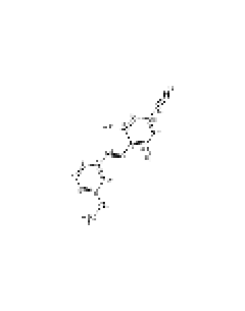 COc1cccc(/N=C/c2c(F)cc(C#N)cc2F)c1